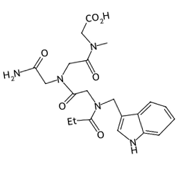 CCC(=O)N(CC(=O)N(CC(N)=O)CC(=O)N(C)CC(=O)O)Cc1c[nH]c2ccccc12